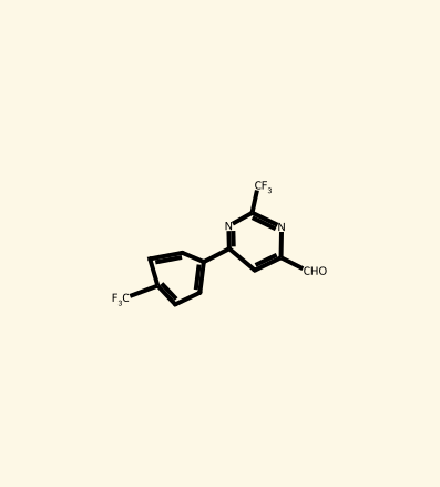 O=Cc1cc(-c2ccc(C(F)(F)F)cc2)nc(C(F)(F)F)n1